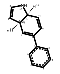 C1=C[C@@H]2C=C(c3ccccc3)C=C[C@@H]2N1